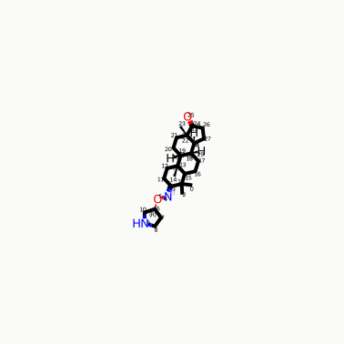 CC1(C)/C(=N/O[C@@H]2CCNC2)CC[C@@]2(C)C1CC[C@@H]1[C@H]2CC[C@]2(C)C(=O)CC[C@@H]12